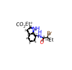 CCOC(=O)c1cc2cccc(NC(=O)C(Br)CC)c2[nH]1